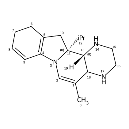 CC1=CN2C3=C(CCC=C3)C[C@@]2(C(C)C)[C@@H]2NCCNC12